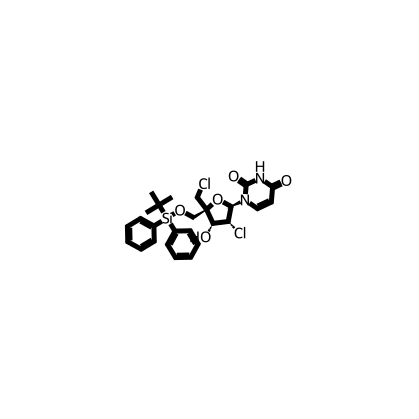 CC(C)(C)[Si](OC[C@@]1(CCl)O[C@@H](n2ccc(=O)[nH]c2=O)[C@H](Cl)[C@@H]1O)(c1ccccc1)c1ccccc1